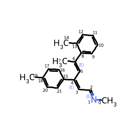 C/N=C/C=C(\C=C(/C)c1ccccc1C)c1ccc(C)cc1